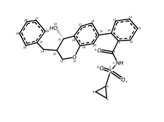 O=C(NS(=O)(=O)C1CC1)c1ccccc1-c1ccc2c(c1)OCC(Cc1ccccc1)[C@@H]2O